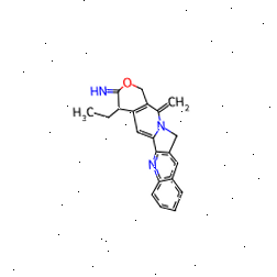 C=C1C2=C(C=C3c4nc5ccccc5cc4CN13)C(CC)C(=N)OC2